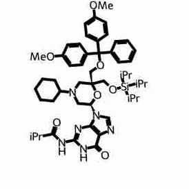 COc1ccc(C(OC[C@]2(CO[Si](C(C)C)(C(C)C)C(C)C)CN(C3CCCCC3)C[C@H](n3cnc4c(=O)[nH]c(NC(=O)C(C)C)nc43)O2)(c2ccccc2)c2ccc(OC)cc2)cc1